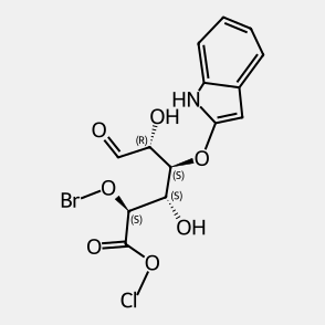 O=C[C@H](O)[C@@H](Oc1cc2ccccc2[nH]1)[C@H](O)[C@H](OBr)C(=O)OCl